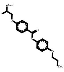 CCCCCCCCCCCCOc1ccc(SC(=O)c2ccc(OCC(F)CCCCC)cc2)cc1